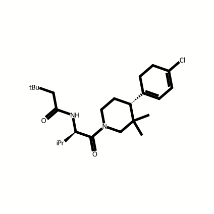 CC(C)[C@@H](NC(=O)CC(C)(C)C)C(=O)N1CC[C@H](C2=CC=C(Cl)CC2)C(C)(C)C1